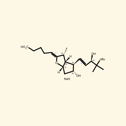 CCCCC(C)(C)[C@H](O)/C=C/[C@@H]1[C@@H]2[C@H](C[C@H]1O)O/C(=C\CCCC(=O)O)[C@@H]2F.[NaH]